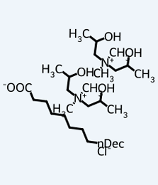 CC(O)C[N+](C)(C)CC(C)O.CC(O)C[N+](C)(C)CC(C)O.CCCCCCCCCCCCCCCCCC(=O)[O-].[Cl-]